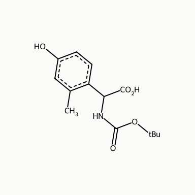 Cc1cc(O)ccc1C(NC(=O)OC(C)(C)C)C(=O)O